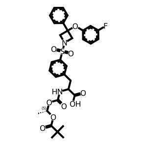 C[C@H](OC(=O)NC(Cc1cccc(S(=O)(=O)N2CC(Oc3cccc(F)c3)(c3ccccc3)C2)c1)C(=O)O)OC(=O)C(C)(C)C